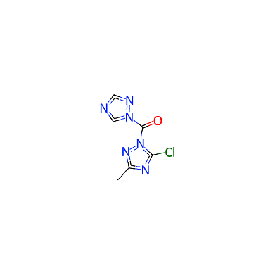 Cc1nc(Cl)n(C(=O)n2cncn2)n1